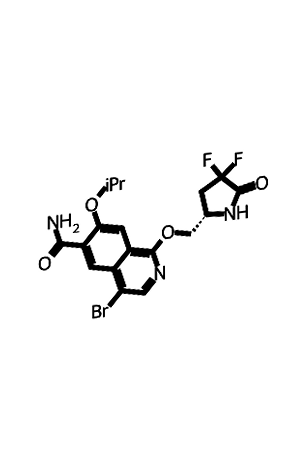 CC(C)Oc1cc2c(OC[C@@H]3CC(F)(F)C(=O)N3)ncc(Br)c2cc1C(N)=O